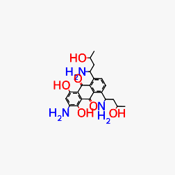 CC(O)CC(N)c1ccc(C(N)CC(C)O)c2c1C(=O)c1c(O)cc(N)c(O)c1C2=O